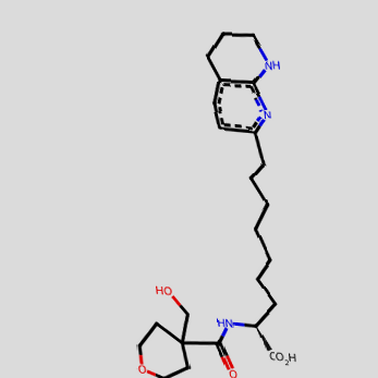 O=C(O)[C@H](CCCCCCCc1ccc2c(n1)NCCC2)NC(=O)C1(CO)CCOCC1